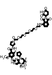 COc1cc(C(=O)N[C@H]2CCN(C(=O)COCCOCCOCCOCCNc3cccc4c3C(=O)N(C3CCC(=O)NC3=O)C4=O)C2)c(F)cc1Nc1ncc2c(n1)N(C1CCCC1)CC(F)(F)C(=O)N2C